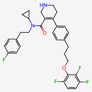 O=C(C1=C(c2ccc(CCCOc3c(F)ccc(F)c3F)cc2)CCNC1)N(CCc1ccc(F)cc1)C1CC1